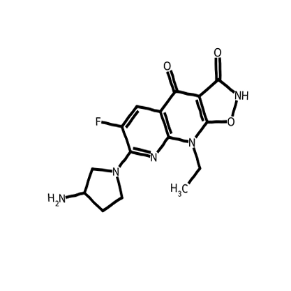 CCn1c2nc(N3CCC(N)C3)c(F)cc2c(=O)c2c(=O)[nH]oc21